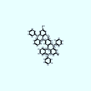 Fc1cc2c3c(c1)N(c1ccccc1)c1ccccc1B3c1cc3c(cc1O2)N(c1ccccc1)c1cc(F)cc2c1B3c1ccccc1N2c1ccccc1